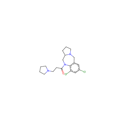 O=C(CCN1CCCC1)N1CC2CCCN2Cc2cc(Cl)cc(Cl)c21